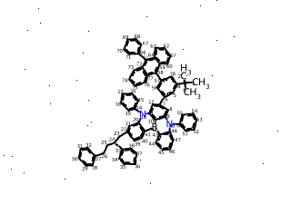 CC(C)(C)c1cc(-c2cc3c4c(c2)N(c2ccccc2)c2cc(CC(CCc5ccccc5)c5ccccc5)ccc2B4c2ccccc2N3c2ccccc2)cc(-c2c3ccccc3c(-c3ccccc3)c3ccccc23)c1